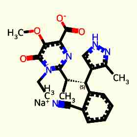 CCn1c(C(C)[C@@H](c2ccccc2C#N)c2c[nH]nc2C)nc(C(=O)[O-])c(OC)c1=O.[Na+]